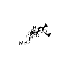 CCC(CC)(NC(=O)c1ccc(C2CC2)c(OCC2CC2)n1)C(=O)NCCOC